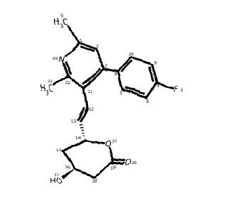 Cc1cc(-c2ccc(F)cc2)c(/C=C/[C@H]2C[C@H](O)CC(=O)O2)c(C)n1